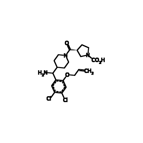 C=CCOc1cc(Cl)c(Cl)cc1C(N)C1CCN(C(=O)[C@@H]2CCN(C(=O)O)C2)CC1